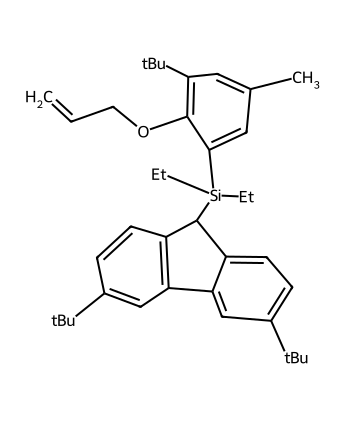 C=CCOc1c(C(C)(C)C)cc(C)cc1[Si](CC)(CC)C1c2ccc(C(C)(C)C)cc2-c2cc(C(C)(C)C)ccc21